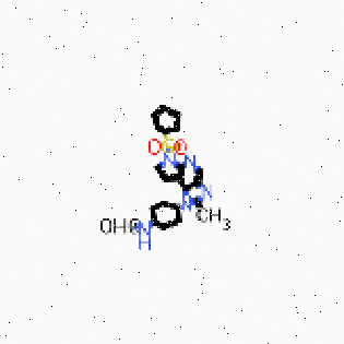 Cc1nc2cnc3c(ccn3S(=O)(=O)c3ccccc3)c2n1C1CCC(NC=O)CC1